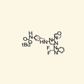 CC(C)(C)OC(=O)NC12CCC(CNc3cc(-n4c(C(F)F)nc5ccccc54)nc(N4CCOCC4)n3)(CC1)CC2